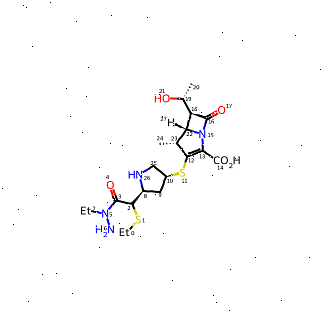 CCSC(C(=O)N(N)CC)[C@@H]1C[C@H](SC2=C(C(=O)O)N3C(=O)[C@H]([C@@H](C)O)[C@H]3[C@H]2C)CN1